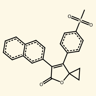 CS(=O)(=O)c1ccc(C2=C(c3ccc4ccccc4c3)C(=O)OC23CC3)cc1